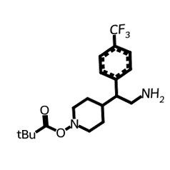 CC(C)(C)C(=O)ON1CCC(C(CN)c2ccc(C(F)(F)F)cc2)CC1